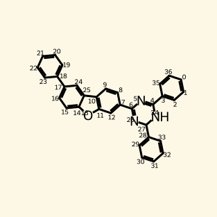 c1ccc(C2=NC(c3ccc4c(c3)oc3ccc(-c5ccccc5)cc34)=NC(c3ccccc3)N2)cc1